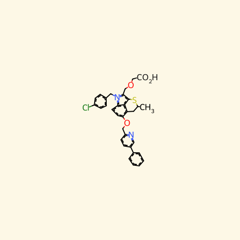 CC1Cc2c(OCc3ccc(-c4ccccc4)cn3)ccc3c2c(c(COCC(=O)O)n3Cc2ccc(Cl)cc2)S1